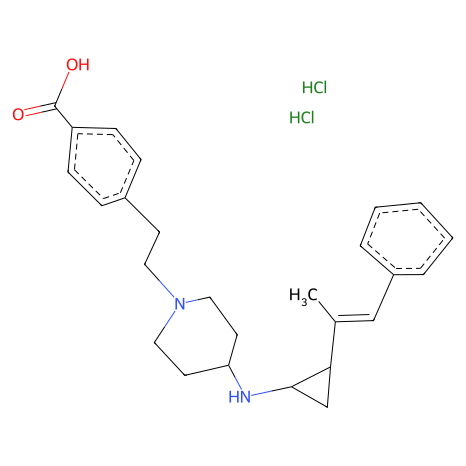 C/C(=C\c1ccccc1)C1CC1NC1CCN(CCc2ccc(C(=O)O)cc2)CC1.Cl.Cl